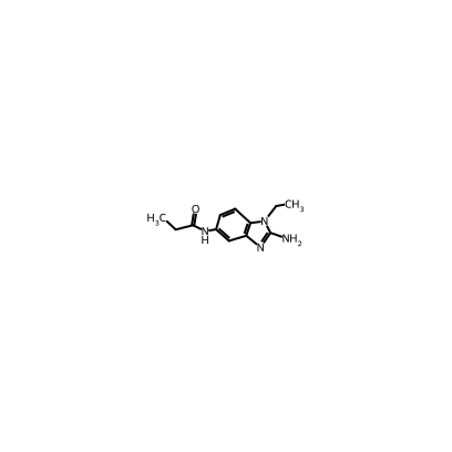 CCC(=O)Nc1ccc2c(c1)nc(N)n2CC